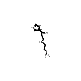 CSCCNCCC(=O)c1ccsc1